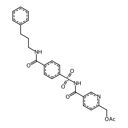 CC(=O)OCc1ccc(C(=O)NS(=O)(=O)c2ccc(C(=O)NCCCc3ccccc3)cc2)cn1